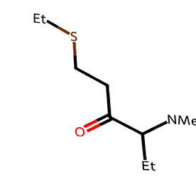 CCSCCC(=O)C(CC)NC